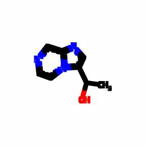 CC(O)c1cnc2cnccn12